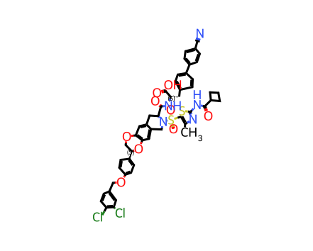 Cc1nc(NC(=O)C2CCC2)sc1S(=O)(=O)N1Cc2cc3c(cc2CC1C(=O)N[C@@H](Cc1ccc(-c2ccc(C#N)cc2)cc1)C(=O)O)OC[C@H](c1ccc(OCc2ccc(Cl)c(Cl)c2)cc1)O3